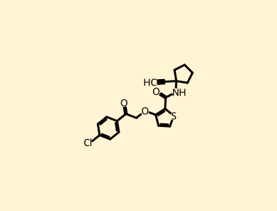 C#CC1(NC(=O)c2sccc2OCC(=O)c2ccc(Cl)cc2)CCCC1